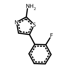 Nc1ncc(-c2ccccc2F)s1